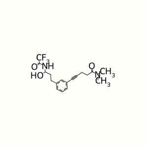 CN(C)C(=O)CCC#Cc1cccc(CCC(O)NC(=O)C(F)(F)F)c1